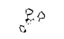 CCC(NC(=O)c1nn(-c2ccccc2)cc1-c1ccccc1)c1ccccc1